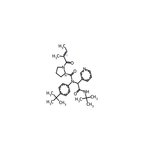 C/C=C(\C)C(=O)N1CCC[C@@H]1C(=O)N(c1ccc(C(C)(C)C)cc1)C(C(=O)NC(C)(C)C)c1cccnc1